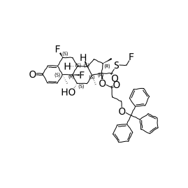 C[C@@H]1C[C@H]2[C@@H]3C[C@H](F)C4=CC(=O)C=C[C@]4(C)[C@@]3(F)[C@@H](O)C[C@]2(C)[C@@]1(OC(=O)CCOC(c1ccccc1)(c1ccccc1)c1ccccc1)C(=O)SCF